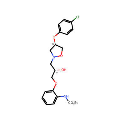 CCOC(=O)Nc1ccccc1OC[C@@H](O)CN1C[C@@H](Oc2ccc(Cl)cc2)CO1